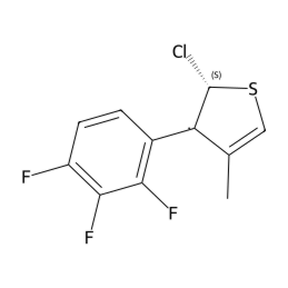 CC1=CS[C@@H](Cl)[C]1c1ccc(F)c(F)c1F